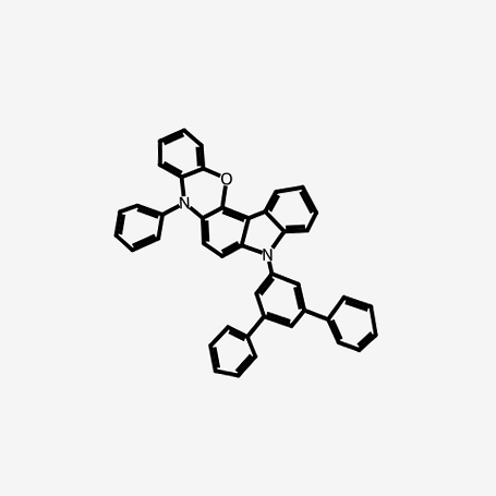 c1ccc(-c2cc(-c3ccccc3)cc(-n3c4ccccc4c4c5c(ccc43)N(c3ccccc3)c3ccccc3O5)c2)cc1